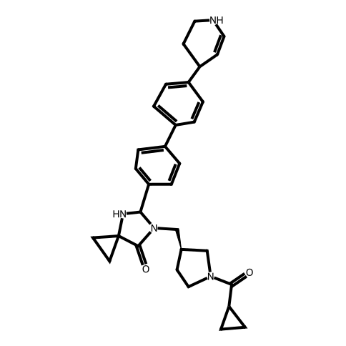 O=C(C1CC1)N1CC[C@@H](CN2C(=O)C3(CC3)NC2c2ccc(-c3ccc(C4C=CNCC4)cc3)cc2)C1